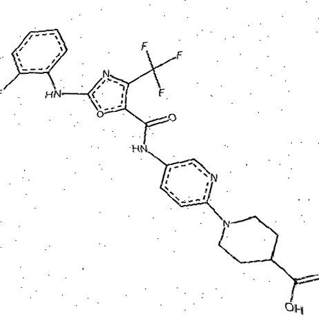 O=C(Nc1ccc(N2CCC(C(=O)O)CC2)nc1)c1oc(Nc2ccccc2F)nc1C(F)(F)F